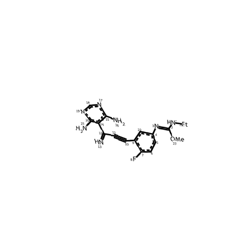 CCN/C(=N/c1ccc(F)c(C#CC(=N)c2c(N)ncnc2N)c1)OC